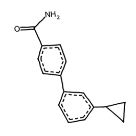 NC(=O)c1ccc(-c2cccc(C3CC3)c2)cc1